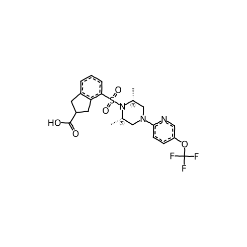 C[C@@H]1CN(c2ccc(OC(F)(F)F)cn2)C[C@H](C)N1S(=O)(=O)c1cccc2c1CC(C(=O)O)C2